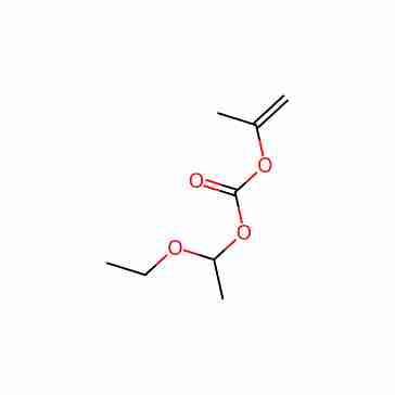 C=C(C)OC(=O)OC(C)OCC